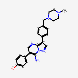 CN1CCN(Cc2ccc(-c3cnn4c(N)c(-c5ccc(O)cc5)cnc34)cc2)CC1